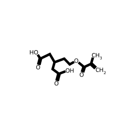 C=C(C)C(=O)OCCC(CC(=O)O)CC(=O)O